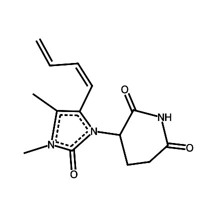 C=C/C=C\c1c(C)n(C)c(=O)n1C1CCC(=O)NC1=O